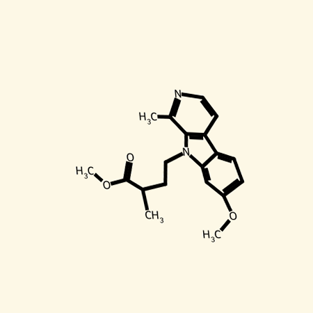 COC(=O)C(C)CCn1c2cc(OC)ccc2c2ccnc(C)c21